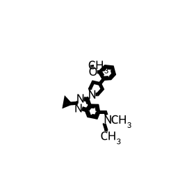 CCCN(C)Cc1ccc2nc(C3CC3)nc(N3CCC(c4ccccc4OC)CC3)c2c1